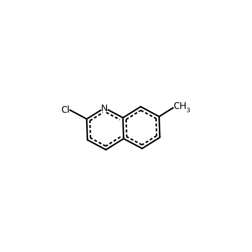 Cc1ccc2ccc(Cl)nc2c1